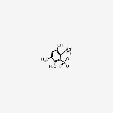 Cc1cc(C)c(C)c(S(=O)(=O)[O-])c1C.[Ag+]